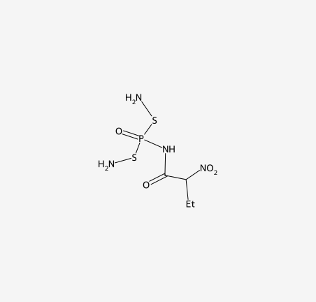 CCC(C(=O)NP(=O)(SN)SN)[N+](=O)[O-]